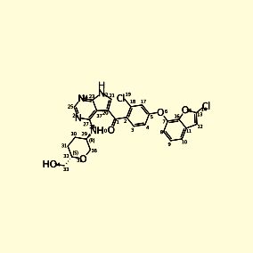 O=C(c1ccc(Oc2cccc3cc(Cl)oc23)cc1Cl)c1c[nH]c2ncnc(N[C@@H]3CC[C@@H](CO)OC3)c12